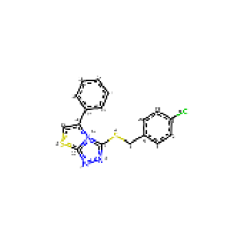 Clc1ccc(CSc2nnc3scc(-c4ccccc4)n23)cc1